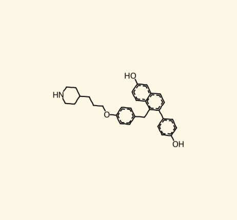 Oc1ccc(-c2ccc3cc(O)ccc3c2Cc2ccc(OCCCC3CCNCC3)cc2)cc1